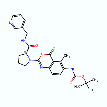 Cc1c(NC(=O)OC(C)(C)C)ccc2nc(N3CCC[C@H]3C(=O)NCc3cccnc3)oc(=O)c12